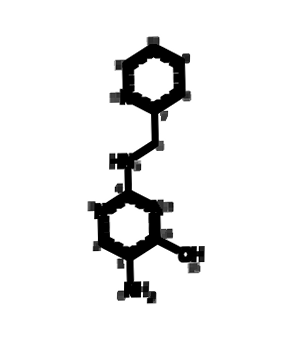 Nc1cnc(NCc2ccccn2)nc1O